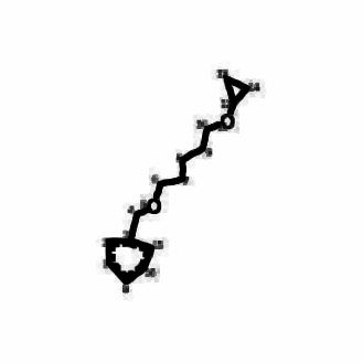 c1ccc(COCCCCCOC2CC2)cc1